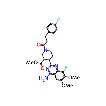 COC(=O)C1CN(C(=O)CCc2ccc(F)cc2)CCC1c1nc(N)c2cc(OC)c(OC)c(F)c2n1